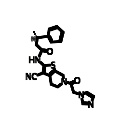 C[C@@H](CC(=O)Nc1sc2c(c1C#N)CCN(C(=O)Cn1ccnc1)C2)c1ccccc1